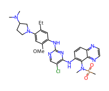 CCc1cc(Nc2ncc(Cl)c(Nc3ccc4nccnc4c3N(C)S(C)(=O)=O)n2)c(OC)cc1N1CCC(N(C)C)C1